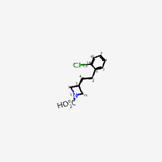 O=C(O)N1CC(CCc2ccccc2Cl)C1